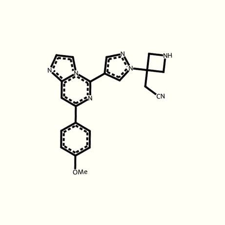 COc1ccc(-c2cc3nccn3c(-c3cnn(C4(CC#N)CNC4)c3)n2)cc1